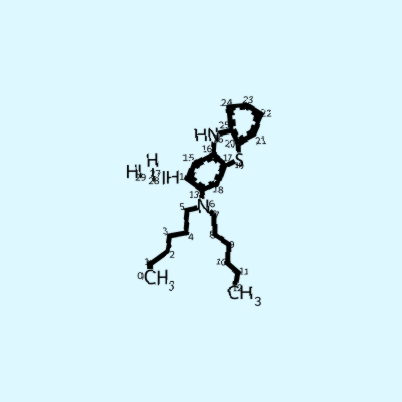 CCCCCCN(CCCCCC)c1ccc2c(c1)Sc1ccccc1N2.I.I.I